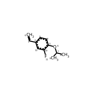 C=Cc1ccc(OC(C)C)c(F)c1